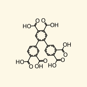 O=C(O)c1ccc(-c2cc(C(=O)O)c(C(=O)O)cc2-c2ccc(C(=O)O)c(C(=O)O)c2)cc1C(=O)O